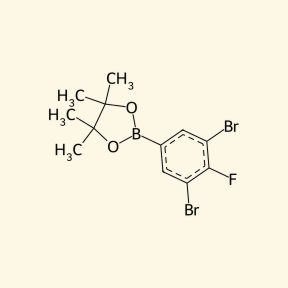 CC1(C)OB(c2cc(Br)c(F)c(Br)c2)OC1(C)C